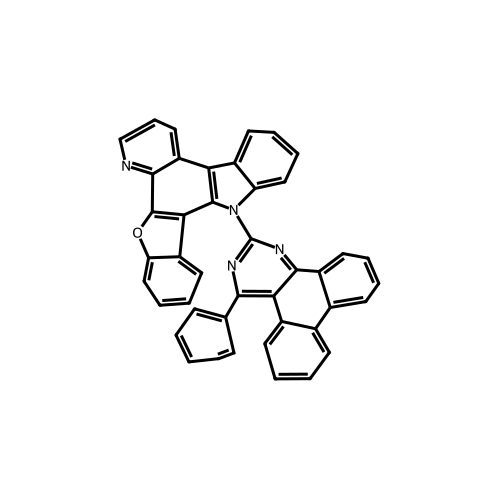 c1ccc(-c2nc(-n3c4ccccc4c4c5cccnc5c5oc6ccccc6c5c43)nc3c4ccccc4c4ccccc4c23)cc1